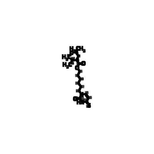 CC(C)CC(C(=O)OCCCCCCn1ccc(=S)[nH]c1=O)C(C)C